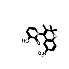 CC1=C(n2cccc(O)c2=O)c2cc([N+](=O)[O-])ccc2OC1(C)C